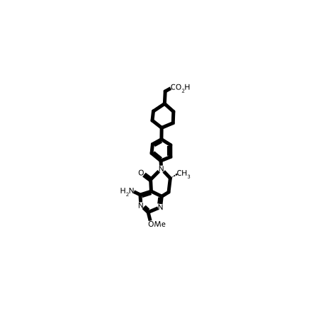 COc1nc(N)c2c(n1)C[C@@H](C)N(c1ccc(C3CCC(CC(=O)O)CC3)cc1)C2=O